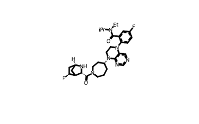 CCN(C(=O)c1cc(F)ccc1N1CCN([C@@H]2CCCN(C(=O)[C@H]3N[C@H]4CC3[C@@H](F)C4)CC2)c2ncncc21)C(C)C